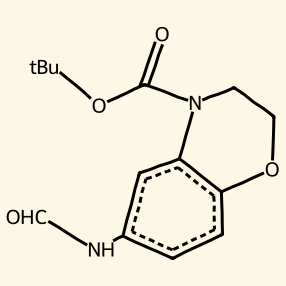 CC(C)(C)OC(=O)N1CCOc2ccc(NC=O)cc21